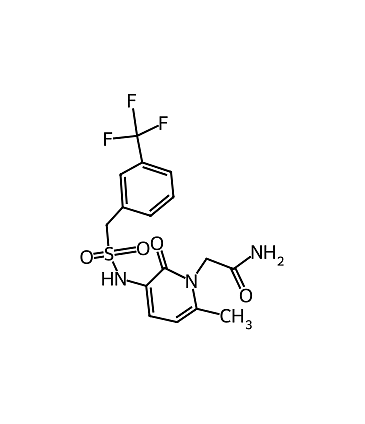 Cc1ccc(NS(=O)(=O)Cc2cccc(C(F)(F)F)c2)c(=O)n1CC(N)=O